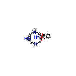 O=C1C(=O)C2c3ccccc3C1c1c2c2cc3nc(cc4ccc(cc5nc(cc1[nH]2)C=C5)[nH]4)C=C3